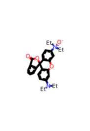 CCN(CC)c1ccc2c(c1)Oc1cc([N+]([O-])(CC)CC)ccc1C21OC(=O)c2ccccc21